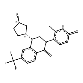 Cc1[nH]c(=O)ccc1N1CN([C@@H]2CC[C@@H](F)C2)c2cc(C(F)(F)F)ccc2C1=O